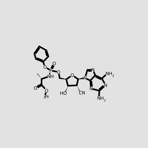 CC(C)OC(=O)[C@H](C)N[P@@](=O)(OC[C@H]1O[C@@H](n2cnc3c(N)nc(N)nc32)[C@H](C#N)[C@@H]1O)Oc1ccccc1